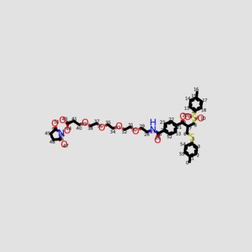 Cc1ccc(SCC(CS(=O)(=O)c2ccc(C)cc2)C(=O)c2ccc(C(=O)NCCOCCOCCOCCOCCC(=O)ON3C(=O)CCC3=O)cc2)cc1